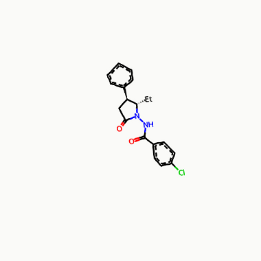 CC[C@H]1[C@H](c2ccccc2)CC(=O)N1NC(=O)c1ccc(Cl)cc1